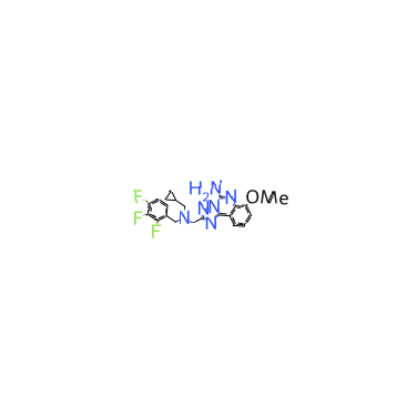 COc1cccc2c1nc(N)n1nc(CN(Cc3ccc(F)c(F)c3F)CC3CC3)nc21